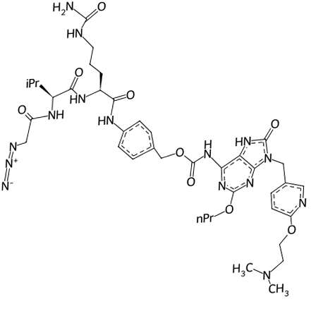 CCCOc1nc(NC(=O)OCc2ccc(NC(=O)[C@H](CCCNC(N)=O)NC(=O)[C@@H](NC(=O)CN=[N+]=[N-])C(C)C)cc2)c2[nH]c(=O)n(Cc3ccc(OCCN(C)C)nc3)c2n1